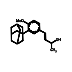 COc1ccc(C=CC(C)O)cc1C12CC3CC(CC(C3)C1)C2